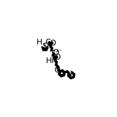 CC(=O)N(CC[S+]([O-])CC(=O)NCCCOc1cccc(CN2CCCCC2)c1)c1cccs1